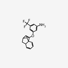 Nc1cc(OC2=CC3CC4C=CC=CC24C3)cc(C(F)(F)F)c1